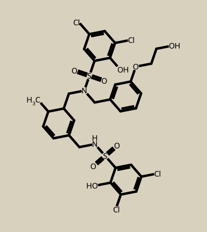 CC1C=CC(CNS(=O)(=O)c2cc(Cl)cc(Cl)c2O)=CC1CN(Cc1cccc(OCCO)c1)S(=O)(=O)c1cc(Cl)cc(Cl)c1O